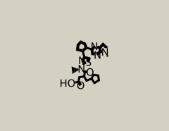 Cn1ccc2nc(-c3ccccc3-c3csc(N(C(=O)C(CC(=O)O)CC4CCCC4)C4CC4)n3)cnc21